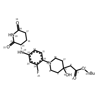 CCCCOC(=O)CC1(O)CCN(c2ccc(N[C@H]3CCC(=O)NC3=O)cc2F)CC1